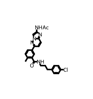 CC(=O)Nc1cn2nc(-c3ccc(C)c(C(=O)NCCCc4ccc(Cl)cc4)c3)ccc2n1